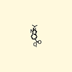 COC(=O)c1ccc2nn(C(C)C)cc2c1